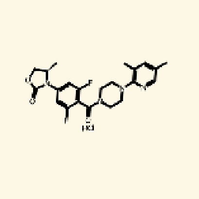 Cc1cnc(N2CCN(C(=O)c3c(F)cc(N4C(=O)OC[C@H]4C)cc3F)CC2)c(C)c1.Cl